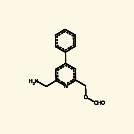 NCc1cc(-c2ccccc2)cc(COC=O)n1